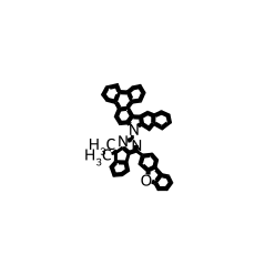 CC1(C)c2ccccc2-c2c(-c3ccc4c(c3)oc3ccccc34)nc(-n3c4cc5ccccc5cc4c4c5c6ccccc6c6ccccc6c5ccc43)nc21